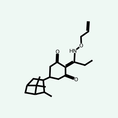 C=CCONC(CC)=C1C(=O)CC(C2CC3CC(C2C)C3(C)C)CC1=O